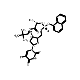 C[C@H](NP(=O)(OCC1O[C@@H](n2cc(F)c(=O)[nH]c2=O)C[C@H]1O)Oc1cccc2ccccc12)C(=O)OCC(C)(C)C